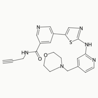 C#CCNC(=O)c1cncc(-c2cnc(Nc3cc(CN4CCOCC4)ccn3)s2)c1